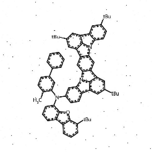 Cc1ccc(-c2ccccc2)cc1N(c1ccc2c3cc(C(C)(C)C)cc4c5cc6c(cc5n(c2c1)c34)c1cc(C(C)(C)C)cc2c3cc(C(C)(C)C)ccc3n6c21)c1cccc2c1oc1c(C(C)(C)C)cccc12